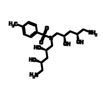 Cc1ccc(S(=O)(=O)N(C[C@H](O)C[C@H](O)CN)C[C@H](O)C[C@H](O)CN)cc1